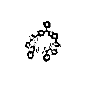 CN(C)[C@@H](C(=O)N1CCC[C@H]1c1ncc(-c2ccc(C(c3ccccc3)C3Cc4cc(-c5cnc([C@@H]6CCCN6C(=O)[C@@H](c6ccccc6)N(C)C)[nH]5)ccc4S3)cc2)[nH]1)c1ccccc1